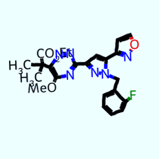 CCOC(=O)C(C)(C)c1nnc(-c2cc(-c3ccon3)n(Cc3ccccc3F)n2)nc1OC